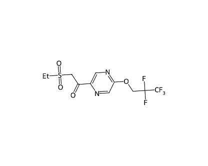 CCS(=O)(=O)CC(=O)c1cnc(OCC(F)(F)C(F)(F)F)cn1